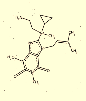 CC(C)=CCn1c([N+](C)(CCN)C2CC2)nc2c1c(=O)n(C)c(=O)n2C